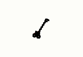 CC=C=CCCCCCCCCCCO[Si](c1ccccc1)(c1ccccc1)C(C)(C)C